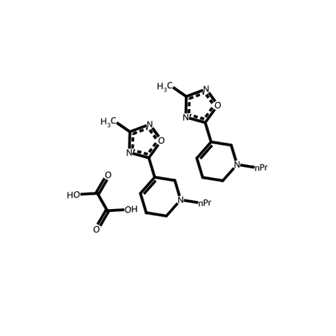 CCCN1CCC=C(c2nc(C)no2)C1.CCCN1CCC=C(c2nc(C)no2)C1.O=C(O)C(=O)O